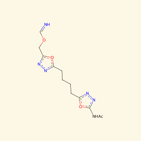 CC(=O)Nc1nnc(CCCCc2nnc(COC=N)o2)o1